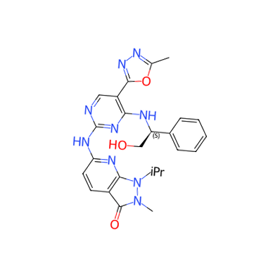 Cc1nnc(-c2cnc(Nc3ccc4c(=O)n(C)n(C(C)C)c4n3)nc2N[C@H](CO)c2ccccc2)o1